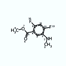 CNc1cc(C(=O)OC)c(F)cc1F